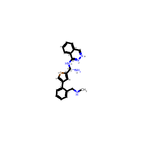 CNCc1ccccc1-c1csc([C@@H](N)Nc2nncc3ccccc23)c1